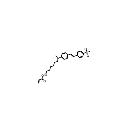 C=CC(=O)OOCCCCCCN(C)c1ccc(C=Cc2ccc(S(C)(=O)=O)cc2)cc1